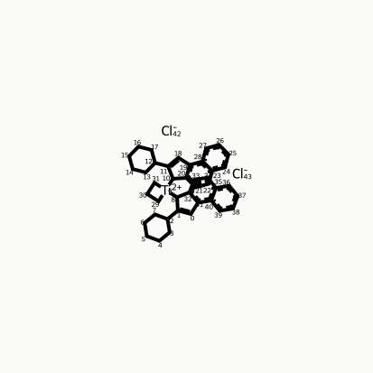 C1=C(C2CCCCC2)[CH]([Ti+2]2([CH]3C(C4CCCCC4)=Cc4c3ccc3ccccc43)[CH2]C[CH2]2)c2ccc3ccccc3c21.[Cl-].[Cl-]